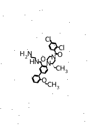 CCOc1ccccc1-c1ccc(N2CCN(C(=O)c3ccc(Cl)cc3Cl)C[C@@H]2CC)c(C(=O)NCCN)c1